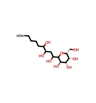 CCCCCCCCCCCCCCC(O)C(O)CC(O)C1O[C@H](CO)[C@H](O)[C@H](O)[C@H]1O